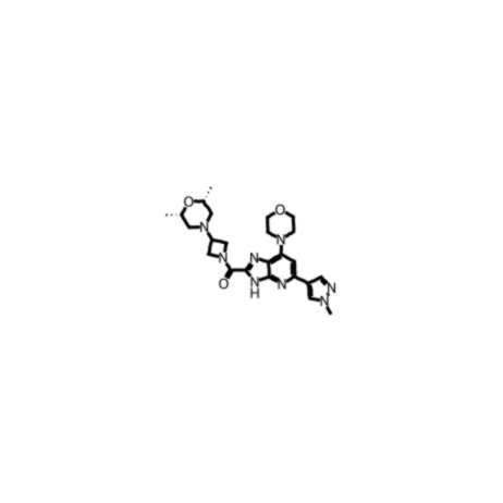 C[C@@H]1CN(C2CN(C(=O)c3nc4c(N5CCOCC5)cc(-c5cnn(C)c5)nc4[nH]3)C2)C[C@H](C)O1